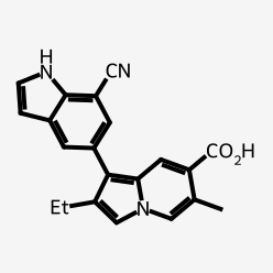 CCc1cn2cc(C)c(C(=O)O)cc2c1-c1cc(C#N)c2[nH]ccc2c1